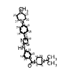 CC(C)N1CCN(C(=O)c2ccc(Nc3nc(-c4ccc(N5CCN(C)CC5)cc4)cs3)cc2)CC1